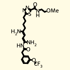 COCCNC(=O)c1nnc(CCCC/C(N)=C/C=C(\N)NC(=O)Cc2cccc(OC(F)(F)F)c2)s1